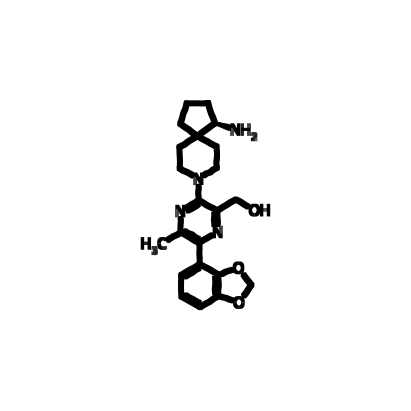 Cc1nc(N2CCC3(CCC[C@H]3N)CC2)c(CO)nc1-c1cccc2c1OCO2